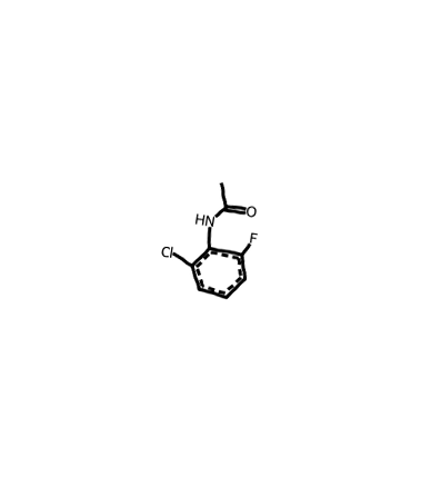 CC(=O)Nc1c(F)cccc1Cl